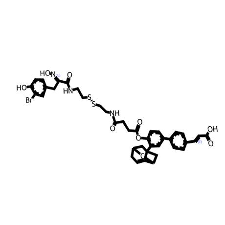 O=C(O)/C=C/c1ccc(-c2ccc(OC(=O)CCC(=O)NCCSSCCNC(=O)/C(Cc3ccc(O)c(Br)c3)=N/O)c(C34CC5CC=C3C(C5)C4)c2)cc1